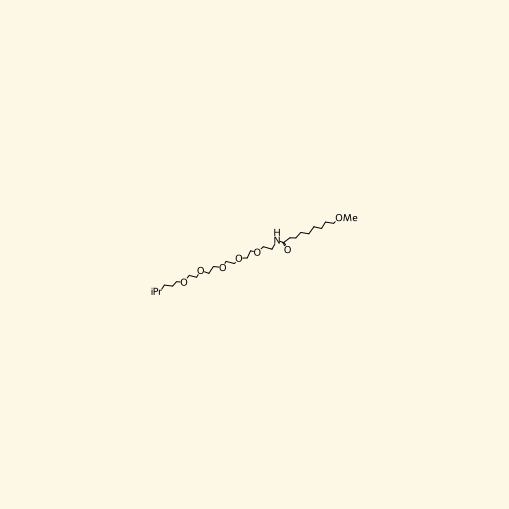 COCCCCCCCCC(=O)NCCOCCOCCOCCOCCOCCCC(C)C